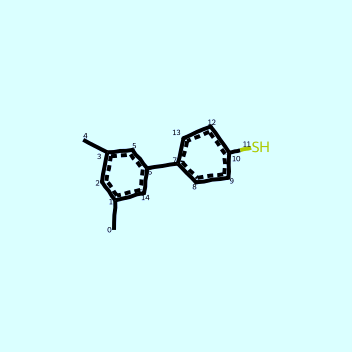 Cc1cc(C)cc(-c2ccc(S)cc2)c1